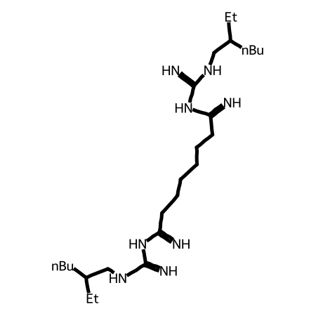 CCCCC(CC)CNC(=N)NC(=N)CCCCCCC(=N)NC(=N)NCC(CC)CCCC